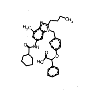 CCCCc1nc2c(C)cc(NC(=O)C3CCCCC3)cc2n1Cc1ccc(OC(C(=O)O)c2ccccc2)cc1